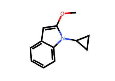 COc1cc2ccccc2n1C1CC1